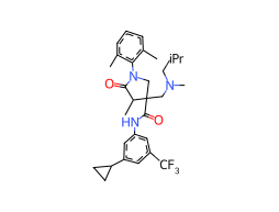 Cc1cccc(C)c1N1CC(CN(C)CC(C)C)(C(=O)Nc2cc(C3CC3)cc(C(F)(F)F)c2)C(C)C1=O